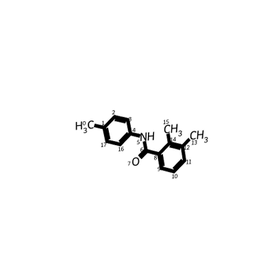 Cc1ccc(NC(=O)c2cccc(C)c2C)cc1